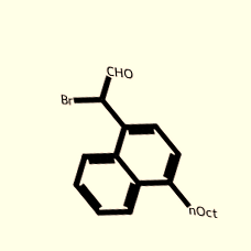 CCCCCCCCc1ccc(C(Br)C=O)c2ccccc12